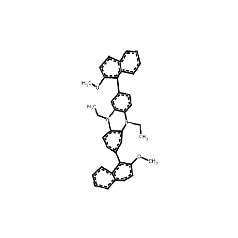 CCN1c2ccc(-c3c(OC)ccc4ccccc34)cc2N(CC)c2ccc(-c3c(OC)ccc4ccccc34)cc21